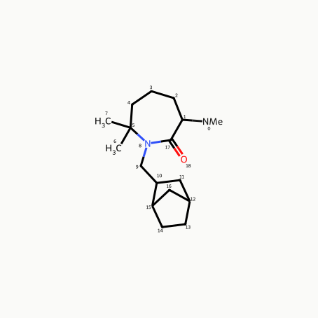 CNC1CCCC(C)(C)N(CC2CC3CCC2C3)C1=O